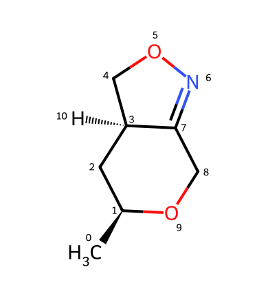 C[C@H]1C[C@H]2CON=C2CO1